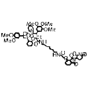 CC[C@H](C(=O)N1CCCC[C@H]1C(=O)O[C@H](CCc1ccc(OC)c(OC)c1)c1ccccc1OCC(=O)NCCCCCCCCNC(=O)COc1cccc2c1C(=O)N(C1CCC(=O)NC1=O)C2=O)c1cc(OC)c(OC)c(OC)c1